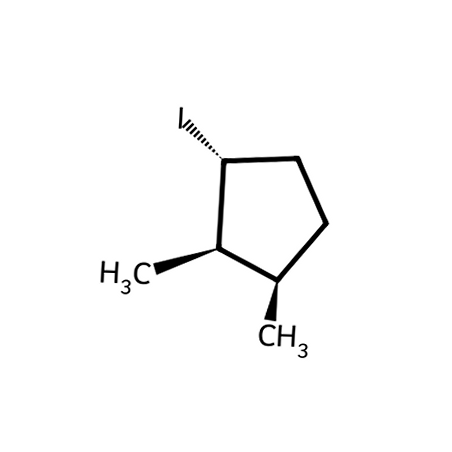 C[C@@H]1[C@H](C)CC[C@H]1I